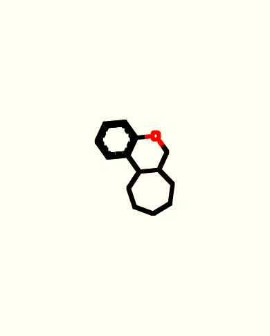 c1ccc2c(c1)OCC1CCCCCC21